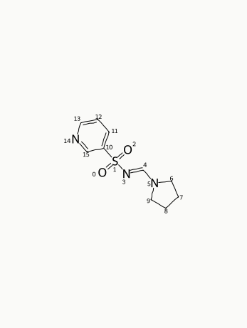 O=S(=O)(N=CN1CCCC1)c1cccnc1